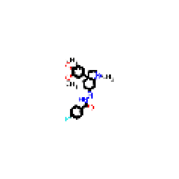 COc1ccc(C23CC/C(=N\NC(=O)c4ccc(F)cc4)CC2N(C)CC3)cc1OC